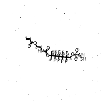 C=CC(=O)OCCNC(=O)OC(C)(C)C(F)(F)C(F)(F)C(F)(F)C(F)(F)COS(=O)(=O)NS